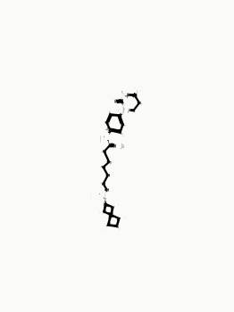 O=C1CCN(c2ccc(NC(=O)CCCCCCNC3CC4(CCC4)C3)cc2)C(=O)N1